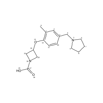 Cc1cc(CN2CCCC2)ccc1OC1CN(C(=O)O)C1